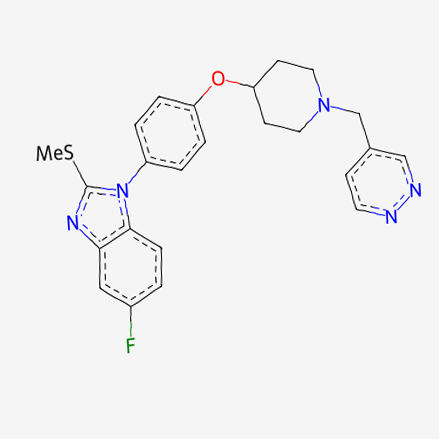 CSc1nc2cc(F)ccc2n1-c1ccc(OC2CCN(Cc3ccnnc3)CC2)cc1